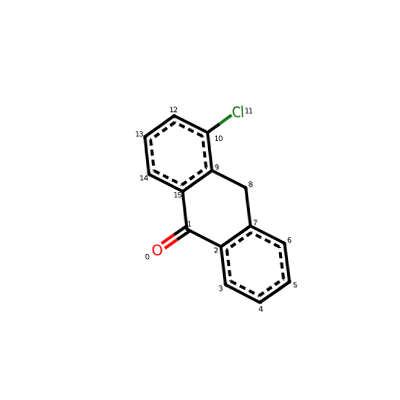 O=C1c2ccccc2Cc2c(Cl)cccc21